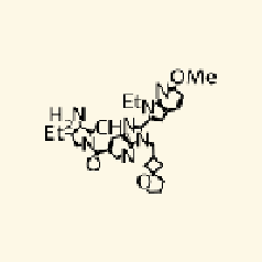 CCC1CN(C(=O)c2cnc3c(c2)nc(-c2cc4ccc(OC)nc4n2CC)n3CC2CC3(CCCO3)C2)C(C)[C@@H]1N